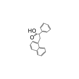 O=C(O)C(Cc1cccc2ccccc12)c1ccccc1